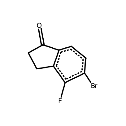 O=C1CCc2c1ccc(Br)c2F